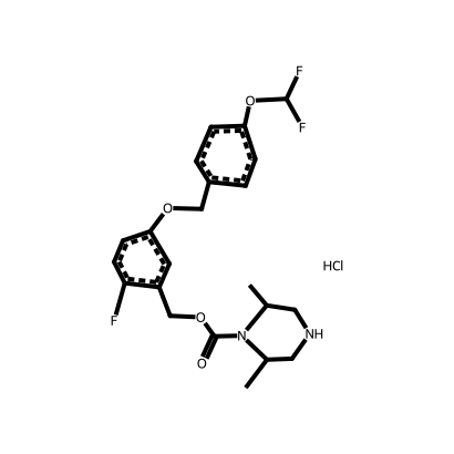 CC1CNCC(C)N1C(=O)OCc1cc(OCc2ccc(OC(F)F)cc2)ccc1F.Cl